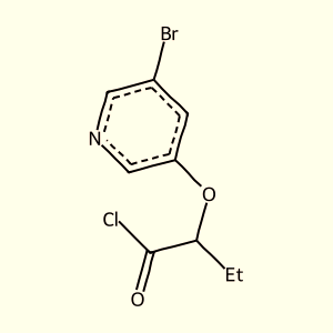 CCC(Oc1cncc(Br)c1)C(=O)Cl